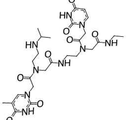 CCNC(=O)CN(CCNC(=O)CN(CCNC(C)C)C(=O)Cn1cc(C)c(=O)[nH]c1=O)C(=O)Cn1ccc(=O)[nH]c1=O